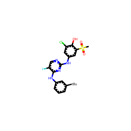 CC(C)(C)c1cccc(Nc2nc(Nc3cc(Cl)c(O)c(S(C)(=O)=O)c3)ncc2F)c1